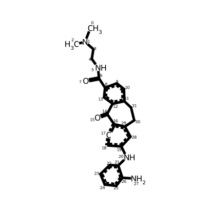 CN(C)CCNC(=O)c1ccc2c(c1)C(=O)c1ccc(Nc3ccccc3N)cc1CC2